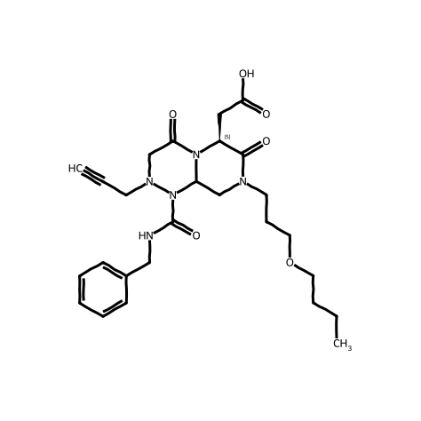 C#CCN1CC(=O)N2C(CN(CCCOCCCC)C(=O)[C@@H]2CC(=O)O)N1C(=O)NCc1ccccc1